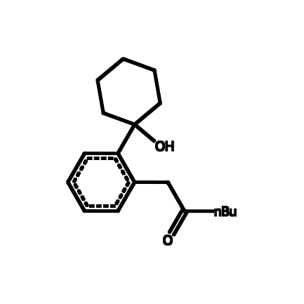 CCCCC(=O)Cc1ccccc1C1(O)CCCCC1